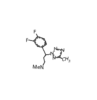 CNCCC(c1ccc(F)c(F)c1)n1nnc(C)n1